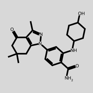 Cc1nn(-c2ccc(C(N)=O)c(NC3CCC(O)CC3)c2)c2c1C(=O)CC(C)(C)C2